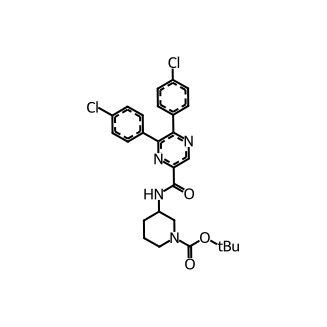 CC(C)(C)OC(=O)N1CCCC(NC(=O)c2cnc(-c3ccc(Cl)cc3)c(-c3ccc(Cl)cc3)n2)C1